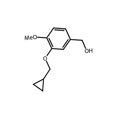 COc1ccc(CO)cc1OCC1CC1